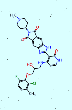 Cc1ccc(F)c(OCC(O)CNc2cc[nH]c(=O)c2-c2nc3cc4c(cc3[nH]2)C(=O)N(C2CCN(C)CC2)C4=O)c1Cl